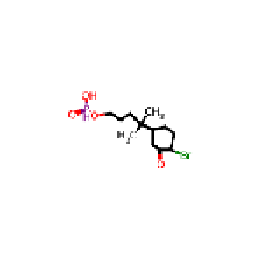 CC(C)(CCCO[PH](=O)O)C1CCC(Br)C(=O)C1